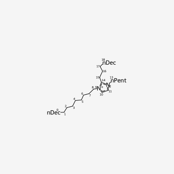 CCCCCCCCCCCCCCCCCC[n+]1ccn(CCCCC)c1CCCCCCCCCCCCC